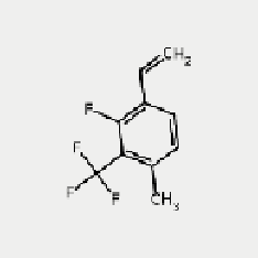 C=Cc1ccc(C)c(C(F)(F)F)c1F